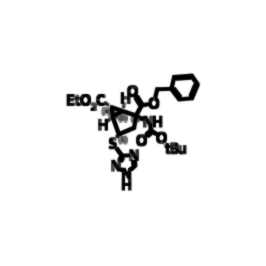 CCOC(=O)[C@H]1[C@H]2[C@@H]1[C@](NC(=O)OC(C)(C)C)(C(=O)OCc1ccccc1)C[C@@H]2Sc1nc[nH]n1